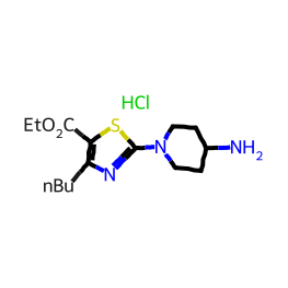 CCCCc1nc(N2CCC(N)CC2)sc1C(=O)OCC.Cl